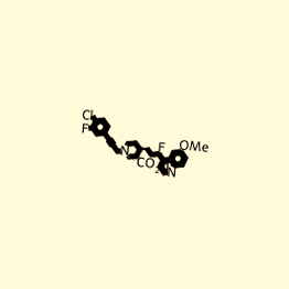 COc1ccc2nccc(C(F)CC[C@@H]3CCN(CC#Cc4ccc(Cl)c(F)c4)C[C@@H]3C(=O)O)c2c1